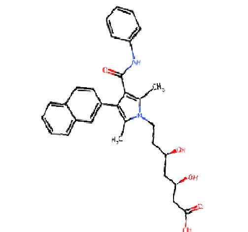 Cc1c(C(=O)Nc2ccccc2)c(-c2ccc3ccccc3c2)c(C)n1CC[C@@H](O)C[C@@H](O)CC(=O)O